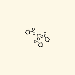 O=C(OCC(COC(=O)c1ccccc1)COC(=O)c1ccccc1)c1ccccc1